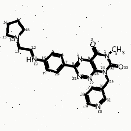 Cn1c(=O)c2nc(-c3ccc(NCCN4CCCC4)cc3)nnc2n(Cc2cccnc2)c1=O